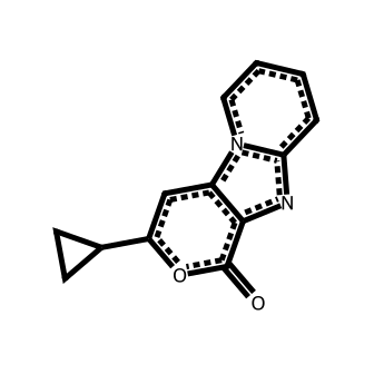 O=c1oc(C2CC2)cc2c1nc1ccccn12